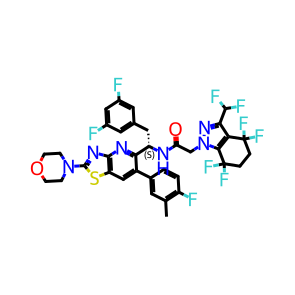 Cc1cc(-c2cc3sc(N4CCOCC4)nc3nc2[C@H](Cc2cc(F)cc(F)c2)NC(=O)Cn2nc(C(F)F)c3c2C(F)(F)CCC3(F)F)ccc1F